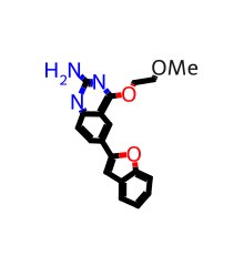 COCCOc1nc(N)nc2ccc(-c3cc4ccccc4o3)cc12